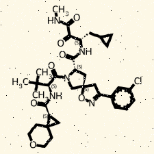 CNC(=O)C(=O)[C@H](CC1CC1)NC(=O)[C@@H]1C[C@]2(CC(c3cccc(Cl)c3)=NO2)CN1C(=O)[C@@H](NC(=O)[C@H]1CC12CCOCC2)C(C)(C)C